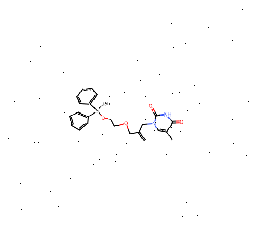 C=C(COCCO[Si](c1ccccc1)(c1ccccc1)C(C)(C)C)Cn1cc(C)c(=O)[nH]c1=O